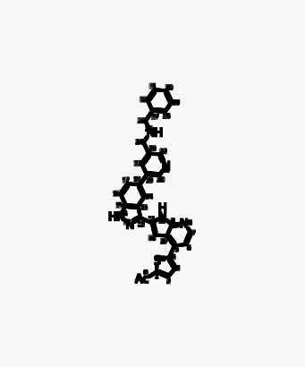 CC(=O)c1ccc(-c2ccnc3[nH]c(-c4n[nH]c5ccc(-c6cncc(CNCc7ccccc7)c6)cc45)cc23)s1